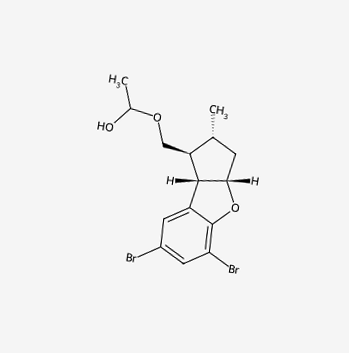 CC(O)OC[C@@H]1[C@H]2c3cc(Br)cc(Br)c3O[C@H]2C[C@H]1C